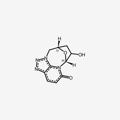 O=c1ccc2nnn3c2n1[C@@H]1O[C@@H](CC1O)C3